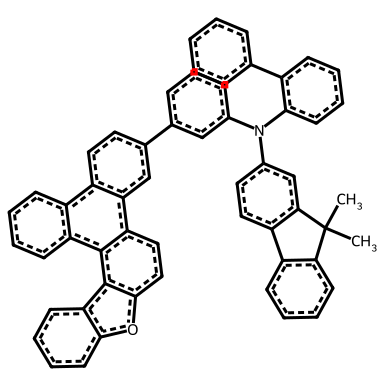 CC1(C)c2ccccc2-c2ccc(N(c3cccc(-c4ccc5c6ccccc6c6c(ccc7oc8ccccc8c76)c5c4)c3)c3ccccc3-c3ccccc3)cc21